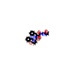 O=C(NC[C@@H]1CCCO1)C(=O)C(Cc1ccccc1)NC(=O)[C@H]1CCC(=O)N1Cc1ccccc1